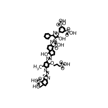 Cc1cc(N=Nc2ccc3c(S(=O)(=O)O)c(N=Nc4c(-c5ccccc5)nn(-c5cc(S(=O)(=O)O)cc(S(=O)(=O)O)c5)c4O)ccc3c2O)c(OCCCS(=O)(=O)O)cc1N=Nc1nc2ccc(CO)c(S(=O)(=O)O)c2s1